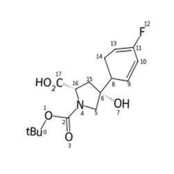 CC(C)(C)OC(=O)N1C[C@](O)(C2C=CC(F)=CC2)C[C@H]1C(=O)O